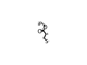 CC(C)OC(=O)CC[S]